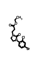 CCOC(=O)CCN1CCN(c2ccc(Br)cc2Cl)C1=O